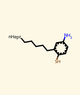 CCCCCCCCCCCCc1cc(N)ccc1S